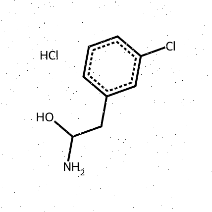 Cl.NC(O)Cc1cccc(Cl)c1